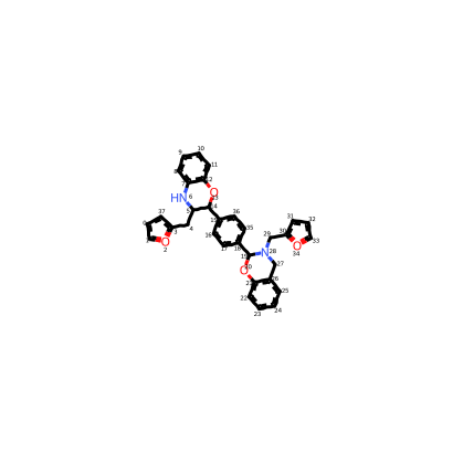 c1coc(CC2Nc3ccccc3OC2c2ccc(C3Oc4ccccc4CN3Cc3ccco3)cc2)c1